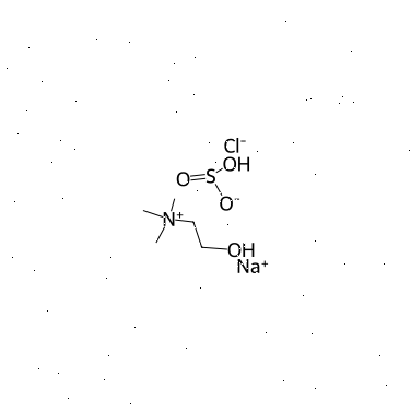 C[N+](C)(C)CCO.O=S([O-])O.[Cl-].[Na+]